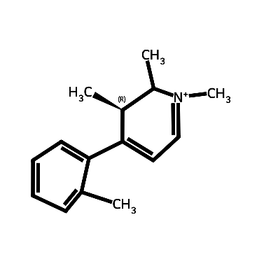 Cc1ccccc1C1=CC=[N+](C)C(C)[C@@H]1C